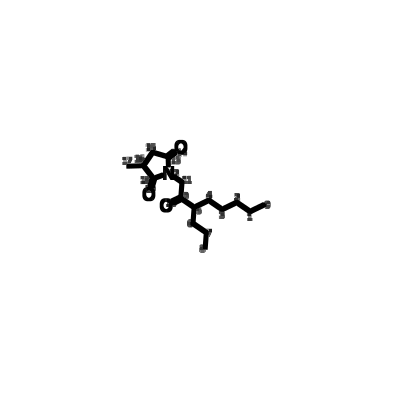 CCCCCC(CCC)C(=O)CN1C(=O)CC(C)C1=O